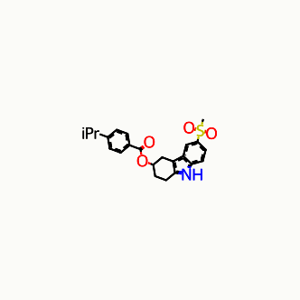 CC(C)c1ccc(C(=O)OC2CCc3[nH]c4ccc(S(C)(=O)=O)cc4c3C2)cc1